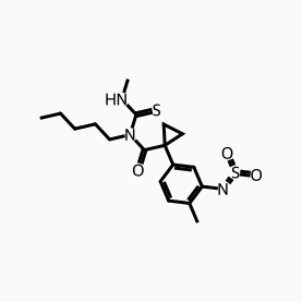 CCCCCN(C(=O)C1(c2ccc(C)c(N=S(=O)=O)c2)CC1)C(=S)NC